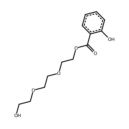 O=C(OCCOCCOCCO)c1ccccc1O